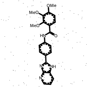 COc1ccc(C(=O)Nc2ccc(-c3nc4ncccc4[nH]3)cc2)c(OC)c1OC